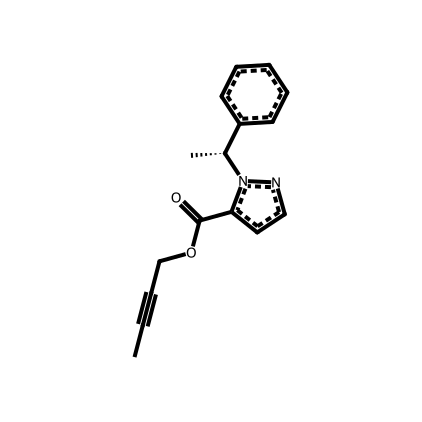 CC#CCOC(=O)c1ccnn1[C@H](C)c1ccccc1